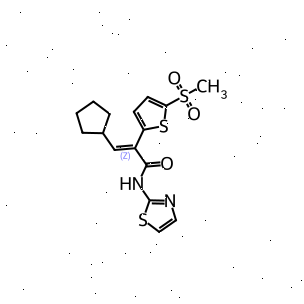 CS(=O)(=O)c1ccc(/C(=C\C2CCCC2)C(=O)Nc2nccs2)s1